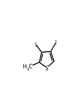 Cc1scc(I)c1I